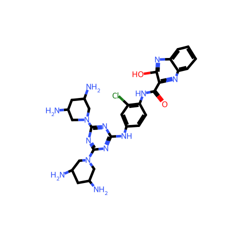 NC1CC(N)CN(c2nc(Nc3ccc(NC(=O)c4nc5ccccc5nc4O)c(Cl)c3)nc(N3CC(N)CC(N)C3)n2)C1